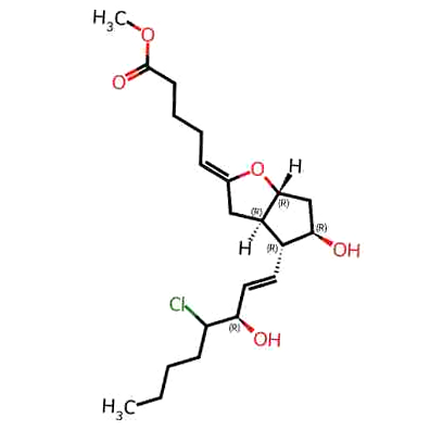 CCCCC(Cl)[C@H](O)C=C[C@@H]1[C@H]2CC(=CCCCC(=O)OC)O[C@@H]2C[C@H]1O